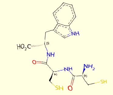 N[C@@H](CS)C(=O)N[C@@H](CS)C(=O)N[C@@H](Cc1c[nH]c2ccccc12)C(=O)O